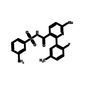 Cc1ccc(F)c(-c2nc(C(C)(C)C)ccc2C(=O)NS(=O)(=O)c2cccc(N)c2)c1